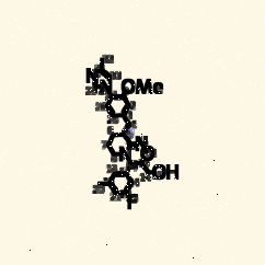 COc1cc(/C=C2\CCCN3C2=NOC(CO)[C@@H]3c2cc(C)cc(F)c2)ccc1-n1cnc(C)c1